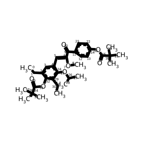 CCc1cc(C=C(OC)C(=O)c2ccc(OC(=O)C(C)(C)C)cc2)c(OC(C)C)c(CC)c1OC(=O)C(C)(C)C